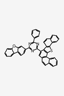 c1ccc(-c2nc(-c3ccc4c(c3)oc3ccccc34)nc(-c3cc4ccc5ccccc5c4c4sc5c6ccccc6ccc5c34)n2)cc1